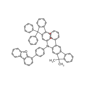 CC1(C)c2ccccc2-c2cc(-c3ccccc3)c(N(c3ccc(-c4cccc5c4oc4ccccc45)cc3)c3ccc4c(c3)C(c3ccccc3)(c3ccccc3)c3ccccc3-4)cc21